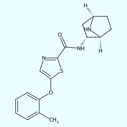 Cc1ccccc1Oc1cnc(C(=O)N[C@@H]2C[C@H]3CC[C@@H]2N3)s1